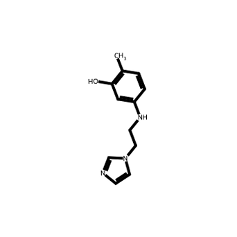 Cc1ccc(NCCn2ccnc2)cc1O